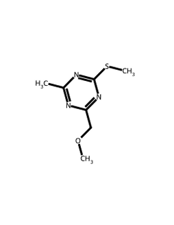 COCc1nc(C)nc(SC)n1